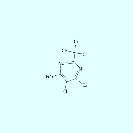 Oc1nc(C(Cl)(Cl)Cl)nc(Cl)c1Cl